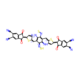 N#Cc1cc2c(cc1C#N)C(=O)C(=c1cc/c(=C\C3=C(N=S)C(N)=C(/C=c4\ccc(=C5C(=O)c6cc(C#N)c(C#N)cc6C5=O)s4)/C(=N/S)C3=N)s1)C2=O